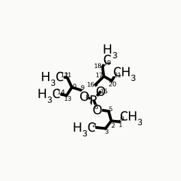 CCC(CC)COP(OCC(CC)CC)OCC(CC)CC